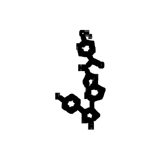 Cc1ccc(C(=O)Nc2cn3nc(-c4c[nH]nc4-c4ccc(F)cc4)ccc3n2)cn1